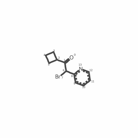 O=C(C1CCC1)C(Br)c1ccccn1